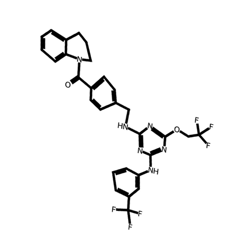 O=C(c1ccc(CNc2nc(Nc3cccc(C(F)(F)F)c3)nc(OCC(F)(F)F)n2)cc1)N1CCCc2ccccc21